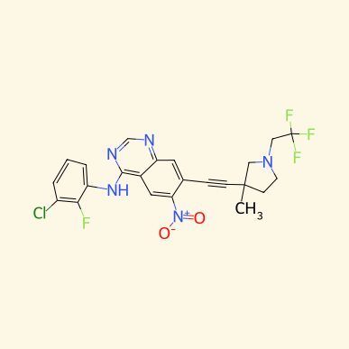 CC1(C#Cc2cc3ncnc(Nc4cccc(Cl)c4F)c3cc2[N+](=O)[O-])CCN(CC(F)(F)F)C1